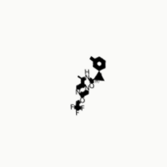 Cc1cccc([C@@H]2C[C@H]2C(=O)N[C@H](C)c2cnc(OCC(F)(F)F)cn2)c1